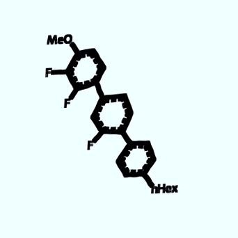 CCCCCCc1ccc(-c2ccc(-c3ccc(OC)c(F)c3F)cc2F)cc1